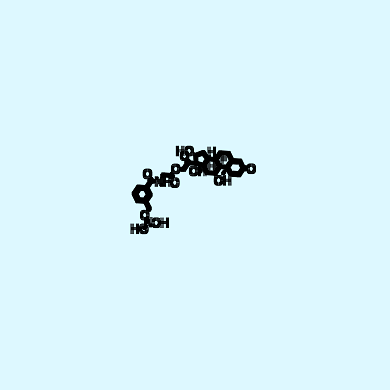 C[C@]12C=CC(=O)C=C1CC[C@H]1[C@@H]3C[C@@H](O)[C@](O)(C(=O)COC(=O)CNC(=O)c4cccc(CON(O)O)c4)[C@@]3(C)C[C@H](O)[C@@]12F